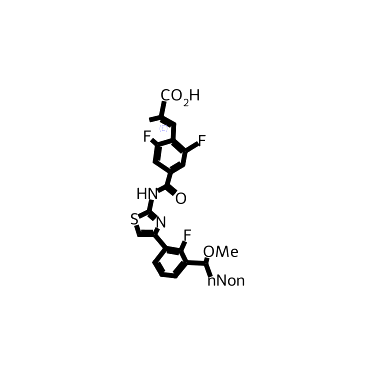 CCCCCCCCCC(OC)c1cccc(-c2csc(NC(=O)c3cc(F)c(/C=C(\C)C(=O)O)c(F)c3)n2)c1F